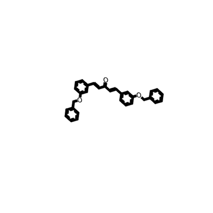 O=C(C=Cc1cccc(OCc2ccccc2)c1)C=Cc1cccc(OCc2ccccc2)c1